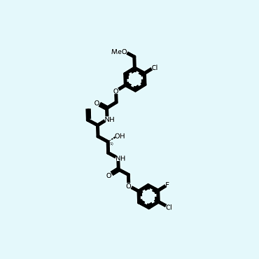 C=CC(C[C@H](O)CNC(=O)COc1ccc(Cl)c(F)c1)NC(=O)COc1ccc(Cl)c(COC)c1